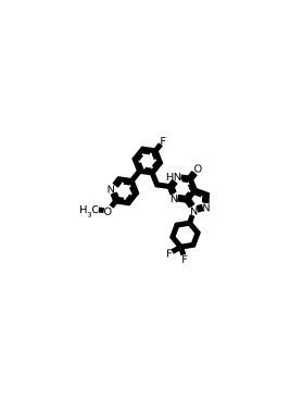 COc1ccc(-c2ccc(F)cc2Cc2nc3c(cnn3C3CCC(F)(F)CC3)c(=O)[nH]2)cn1